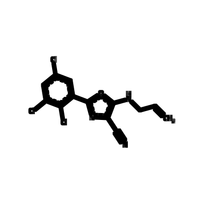 C=CCNc1oc(-c2cc(Cl)cc(Cl)c2Cl)nc1C#N